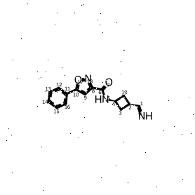 N=C[C@H]1C[C@@H](NC(=O)c2cc(-c3ccccc3)on2)C1